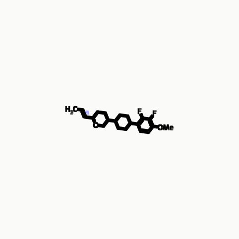 C/C=C/C1CCC(C2CCC(c3ccc(OC)c(F)c3F)CC2)CO1